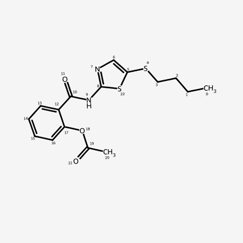 CCCCSc1cnc(NC(=O)c2ccccc2OC(C)=O)s1